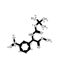 COC(=O)C(NC(=O)OC(C)(C)C)c1cccc([N+](=O)[O-])c1